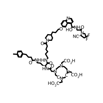 Cc1ccc(CCCC(=O)NCCC[C@H](NC(=O)CN2CCN(CC(=O)O)CCN(CC(=O)O)CCN(CC(=O)O)CC2)C(=O)NCCCCCC(=O)N2CCC(CCCOc3ccc4nccc(C(O)NCC(=O)N5CC(F)(F)C[C@@H]5C#N)c4c3)CC2)cc1